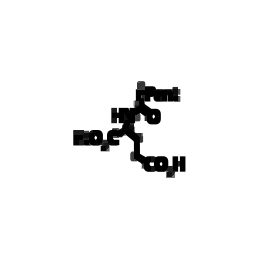 CCCCCC(=O)N[C@@H](CCC(=O)O)C(=O)OCC